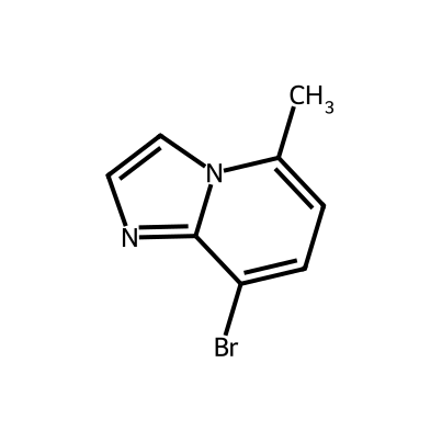 Cc1ccc(Br)c2nccn12